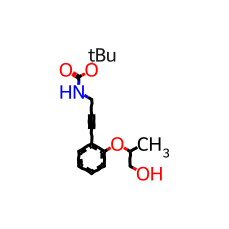 CC(CO)Oc1ccccc1C#CCNC(=O)OC(C)(C)C